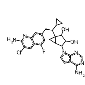 Nc1nc2cc(C[C@@H](C3CC3)C34CC3C(n3ccc5c(N)ncnc53)C(O)C4O)cc(F)c2cc1Cl